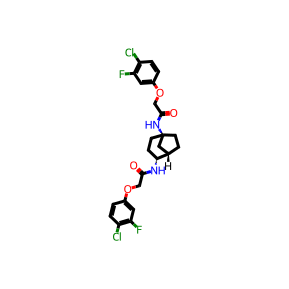 O=C(COc1ccc(Cl)c(F)c1)N[C@@H]1CC[C@]2(NC(=O)COc3ccc(Cl)c(F)c3)CC[C@H]1C2